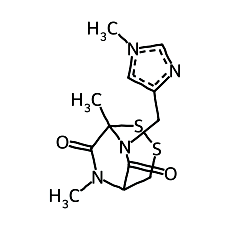 CN1C(=O)C2(C)SSCC1C(=O)N2Cc1cn(C)cn1